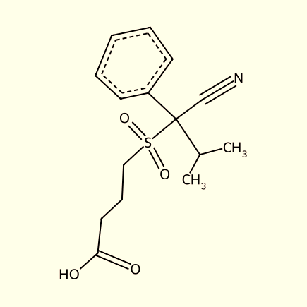 CC(C)C(C#N)(c1ccccc1)S(=O)(=O)CCCC(=O)O